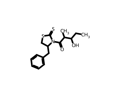 CCC(O)C(C)C(=O)N1C(=S)SCC1Cc1ccccc1